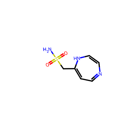 NS(=O)(=O)CC1=CC=NC=CN1